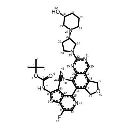 CC(C)(C)OC(=O)Nc1sc2c(F)cnc(-c3c4c(c5cnc(N6CC[C@@H](N7CCC[C@H](O)C7)C6)nc5c3F)COC4)c2c1C#N